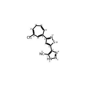 N#Cc1[nH]nnc1-c1cc(C2=CC(Cl)=CCC=C2)ns1